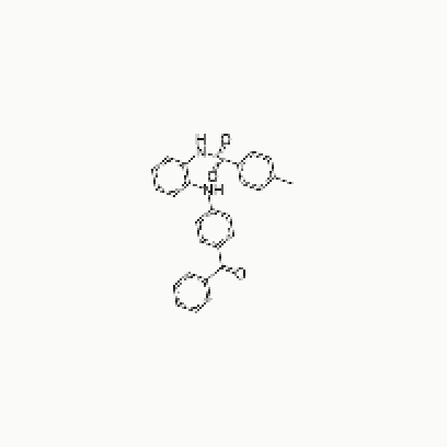 Cc1ccc(S(=O)(=O)Nc2ccccc2Nc2ccc(C(=O)c3ccccc3)cc2)cc1